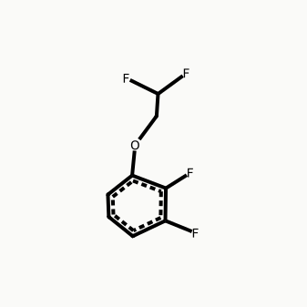 Fc1cccc(OCC(F)F)c1F